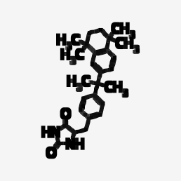 CC1(C)CCC(C)(C)c2cc(C(C)(C)c3ccc(CC4NC(=O)NC4=O)cc3)ccc21